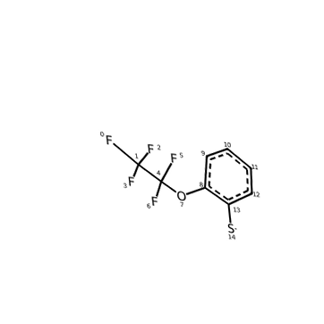 FC(F)(F)C(F)(F)Oc1ccccc1[S]